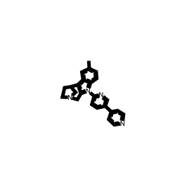 Cc1ccc2c(c1)c1c(n2-c2ccc(-c3ccncc3)cn2)CN2CCC1C2